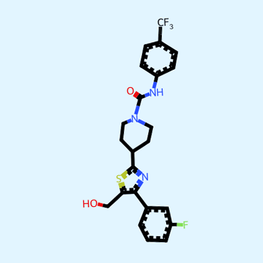 O=C(Nc1ccc(C(F)(F)F)cc1)N1CCC(c2nc(-c3cccc(F)c3)c(CO)s2)CC1